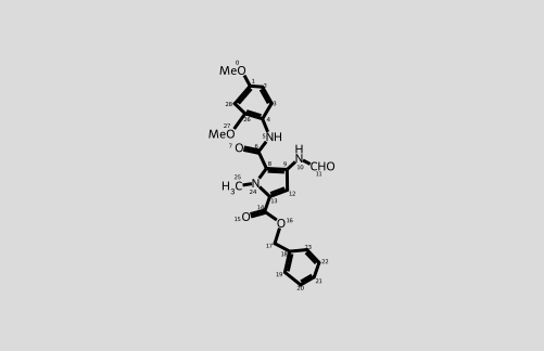 COc1ccc(NC(=O)c2c(NC=O)cc(C(=O)OCc3ccccc3)n2C)c(OC)c1